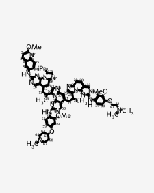 COc1ccc2cc(Nc3ncc4c(CC(C)c5cnc6cc(CC(C)c7cnc8ccc9cnc(Nc%10ccc(OCCN(C)C)cc%10OC)nc9n78)c7cnc(Nc8ccc(OC9CCN(C)CC9)cc8OC)nc7n56)cc5ncc(C(C)C)n5c4n3)ccc2n1